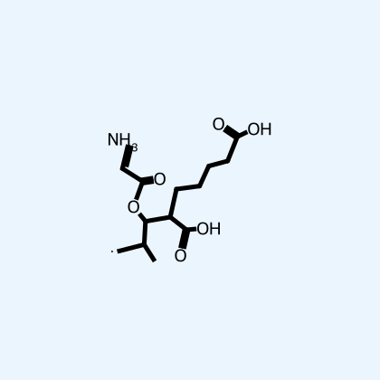 N.[CH2]C(C)C(OC(=O)C=C)C(CCCCC(=O)O)C(=O)O